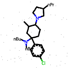 CCCCN(CCCC)C1(c2ccc(Cl)cc2)CCC(N2CCC(CCC)C2)C(C)C1